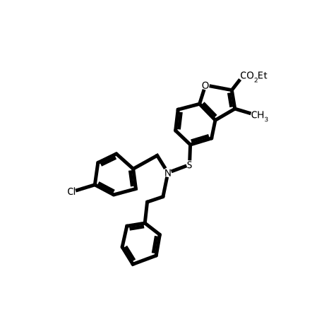 CCOC(=O)c1oc2ccc(SN(CCc3ccccc3)Cc3ccc(Cl)cc3)cc2c1C